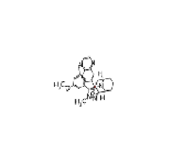 COc1cc(F)cc(-c2c3c(nn2C)[C@@H]2CCC[C@H](C3)N2C(=O)c2ccc3nccnc3c2)c1